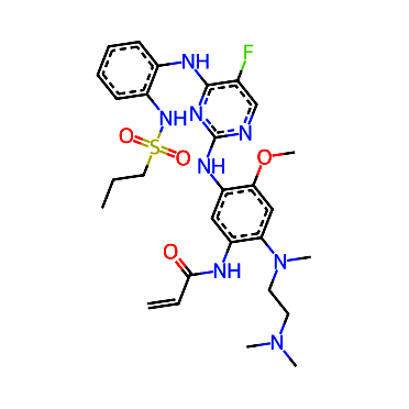 C=CC(=O)Nc1cc(Nc2ncc(F)c(Nc3ccccc3NS(=O)(=O)CCC)n2)c(OC)cc1N(C)CCN(C)C